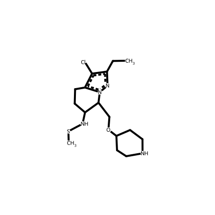 CCc1nn2c(c1Cl)CCC(NSC)C2COC1CCNCC1